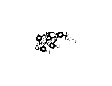 CCOc1cccc(CN2[C@H]3CCn4c(nc5cc(C(=O)OC)ccc54)[C@H]3[C@H](c3cccc(Cl)c3F)[C@]2(C)C(=O)Nc2cccc(Cl)c2)c1